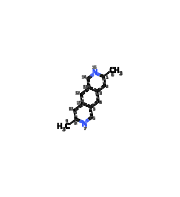 Cc1cc2cc3cnc(C)cc3cc2cn1